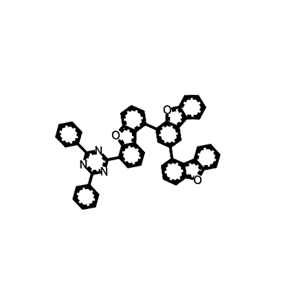 c1ccc(-c2nc(-c3ccccc3)nc(-c3cccc4c3oc3cccc(-c5cc(-c6cccc7oc8ccccc8c67)cc6c5oc5ccccc56)c34)n2)cc1